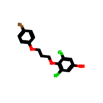 Oc1cc(Cl)c(OCCCOc2ccc(Br)cc2)c(Cl)c1